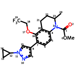 COC(=O)N1c2ccc(-c3cnn(C4CC4)c3)c(OCC(F)(F)F)c2CCC1C